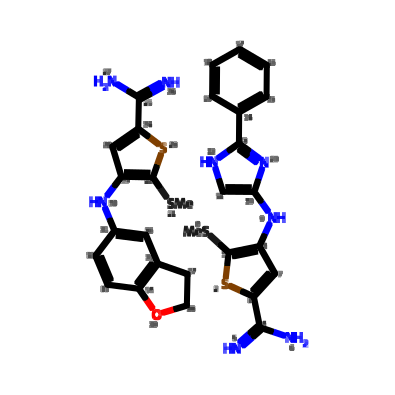 CSc1sc(C(=N)N)cc1Nc1c[nH]c(-c2ccccc2)n1.CSc1sc(C(=N)N)cc1Nc1ccc2c(c1)CCO2